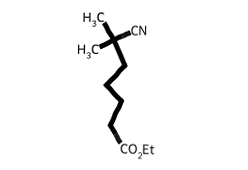 CCOC(=O)CCCCC(C)(C)C#N